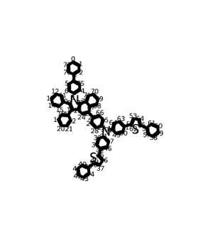 c1ccc(-c2ccc(-n3c(-c4ccccc4)c(-c4ccccc4)c4cc(-c5ccc(N(c6ccc(-c7ccc(-c8ccccc8)s7)cc6)c6ccc(-c7ccc(-c8ccccc8)s7)cc6)cc5)c5ccccc5c43)cc2)cc1